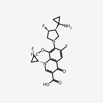 COc1c(N2C[C@@H](F)[C@@H](C3(N)CC3)C2)c(F)cc2c(=O)c(C(=O)O)cn([C@@H]3C[C@@H]3F)c12